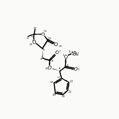 CC(C)(C)OC(=O)[C@@H](OC(=O)C[C@@H]1OC(C)(C)OC1=O)c1ccccc1